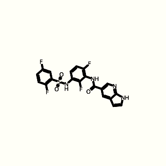 O=C(Nc1c(F)ccc(NS(=O)(=O)c2cc(F)ccc2F)c1F)c1cnc2[nH]ccc2c1